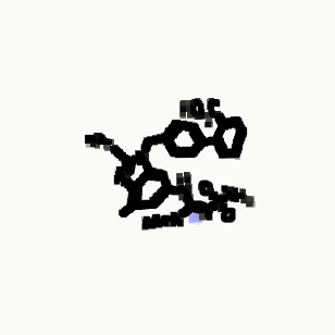 CCCc1nc2c(C)cc(N/C(=N\S(N)(=O)=O)NC)cc2n1Cc1ccc(-c2ccccc2C(=O)O)cc1